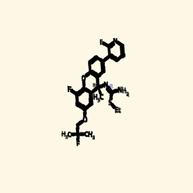 CCS/C(N)=N\[C@@]1(C)c2cc(-c3cccnc3F)ccc2Oc2c(F)cc(OCC(C)(C)F)cc21